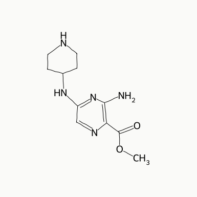 COC(=O)c1ncc(NC2CCNCC2)nc1N